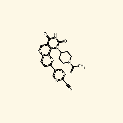 CC(=S)N1CCC(n2c(=O)[nH]c(=O)c3cnc4ccc(-c5cnc(C#N)nc5)nc4c32)CC1